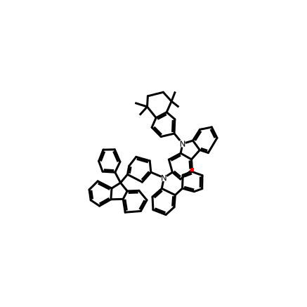 CC1(C)CCC(C)(C)c2cc(-n3c4ccccc4c4ccc(N(c5cccc(C6(c7ccccc7)c7ccccc7-c7ccccc76)c5)c5ccccc5-c5ccccc5)cc43)ccc21